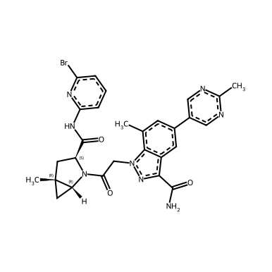 Cc1ncc(-c2cc(C)c3c(c2)c(C(N)=O)nn3CC(=O)N2[C@H](C(=O)Nc3cccc(Br)n3)C[C@@]3(C)C[C@@H]23)cn1